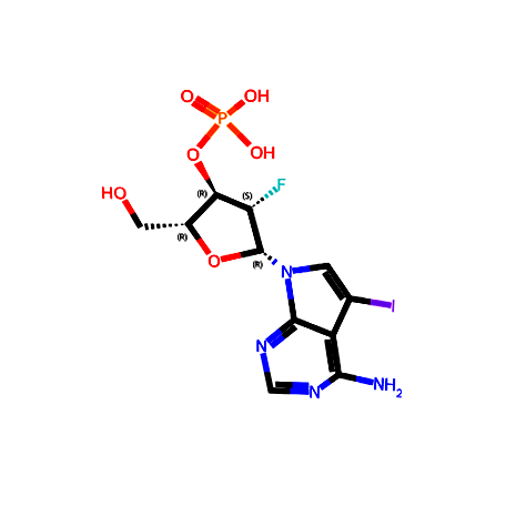 Nc1ncnc2c1c(I)cn2[C@@H]1O[C@H](CO)[C@@H](OP(=O)(O)O)[C@@H]1F